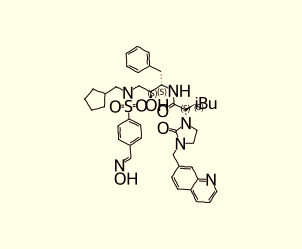 CC[C@H](C)[C@@H](C(=O)N[C@@H](Cc1ccccc1)[C@@H](O)CN(CC1CCCC1)S(=O)(=O)c1ccc(C=NO)cc1)N1CCN(Cc2ccc3cccnc3c2)C1=O